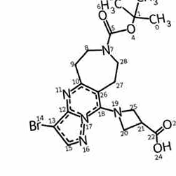 CC(C)(C)OC(=O)N1CCc2nc3c(Br)cnn3c(N3CC(C(=O)O)C3)c2CC1